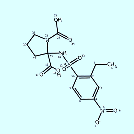 CCc1cc([N+](=O)[O-])ccc1S(=O)(=O)NC1(C(=O)O)CCCN1C(=O)O